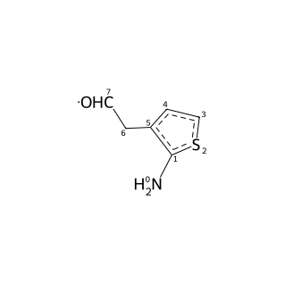 Nc1sccc1C[C]=O